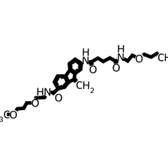 C=C1c2cc(NC(=O)CCCC(=O)NCCOCCCC)ccc2-c2ccc(C(=O)NCCOCCCOC)cc21